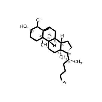 CC(C)CCC[C@@H](C)[C@H]1CC[C@H]2[C@@H]3CC=C4C(O)[C@@H](O)CC[C@]4(C)[C@H]3CC[C@]12C